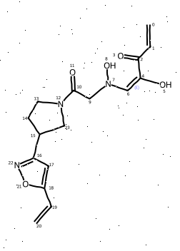 C=CC(=O)/C(O)=C\N(O)CC(=O)N1CCC(c2cc(C=C)on2)C1